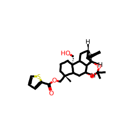 C=C1[C@H]2CC[C@@]34C(C2)[C@]2(CO)CCC[C@@](C)(COC(=O)c5cccs5)C2C[C@H]3OC(C)(C)O[C@@H]14